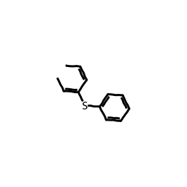 C/C=C\C(=C/C)Sc1ccccc1